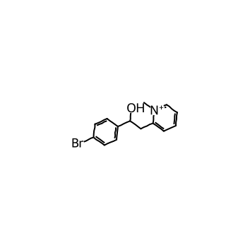 C[n+]1ccccc1CC(O)c1ccc(Br)cc1